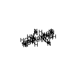 CCn1nnc([C@H]2OC(n3cnc4c(N[C@H]5CC[C@H](Nc6nc(NCCc7cn(C)cn7)nc7c6ncn7C6O[C@H](c7nnn(CC)n7)[C@@H](O)[C@H]6O)CC5)nc(NCCc5cn(C)cn5)nc43)[C@H](O)[C@@H]2O)n1